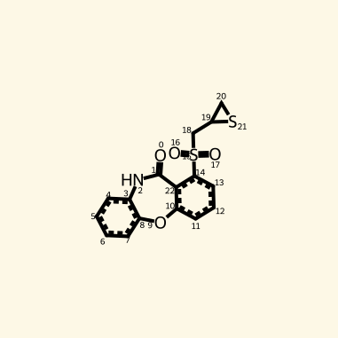 O=C1Nc2ccccc2Oc2cccc(S(=O)(=O)CC3CS3)c21